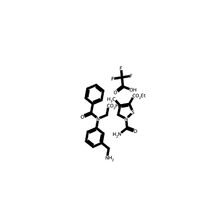 CCOC(=O)C1=C(C)CN(C(N)=O)S1.NCc1cccc(N(CC(=O)O)C(=O)c2ccccc2)c1.O=C(O)C(F)(F)F